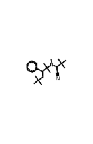 CN(C(C#N)C(C)(C)C)C(C)(C)C(CC(C)(C)C)c1ccccc1